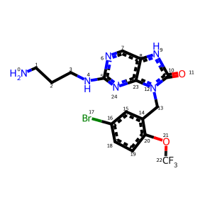 NCCCNc1ncc2[nH]c(=O)n(Cc3cc(Br)ccc3OC(F)(F)F)c2n1